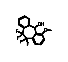 COc1cccc2c1C(O)c1ccccc1C(F)(F)C2(F)F